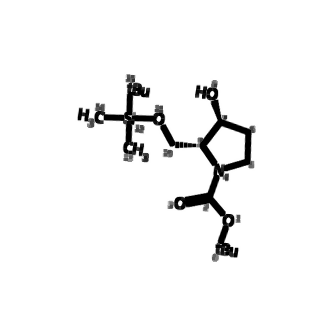 CC(C)(C)OC(=O)N1CC[C@H](O)[C@H]1CO[Si](C)(C)C(C)(C)C